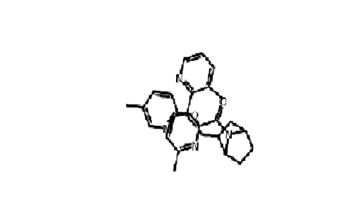 Cc1ccc(OCC2CC3CCC2N3C(=O)c2nc(C)ccc2-c2ncccc2C)nc1